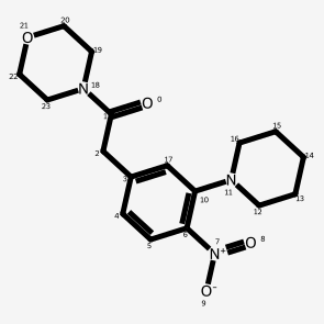 O=C(Cc1ccc([N+](=O)[O-])c(N2CCCCC2)c1)N1CCOCC1